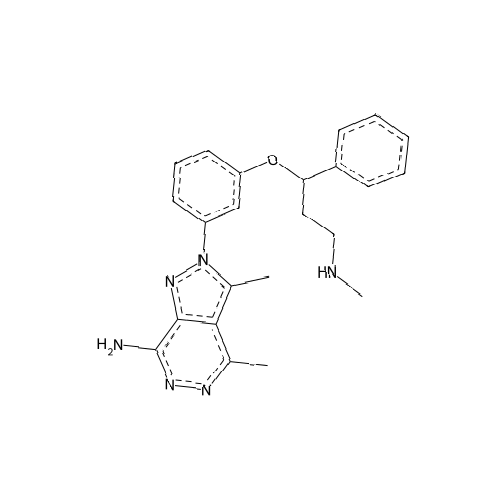 CNCCC(Oc1cccc(-n2nc3c(N)nnc(C)c3c2C)c1)c1ccccc1